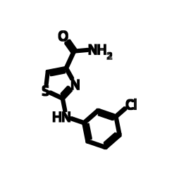 NC(=O)c1csc(Nc2cccc(Cl)c2)n1